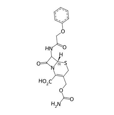 NC(=O)OCC1=C(C(=O)O)N2C(=O)C(NC(=O)COc3ccccc3)[C@@H]2SC1